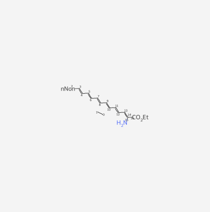 CC.CCCCCCCCCC=CC=CC=CC=CC=CC=C(N)C(=O)OCC